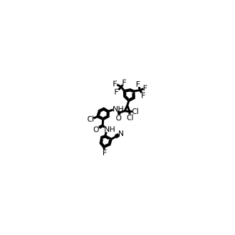 N#Cc1cc(F)ccc1NC(=O)c1cc(NC(=O)C2C(c3cc(C(F)(F)F)cc(C(F)(F)F)c3)C2(Cl)Cl)ccc1Cl